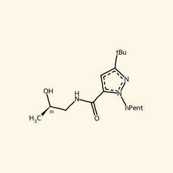 CCCCCn1nc(C(C)(C)C)cc1C(=O)NC[C@@H](C)O